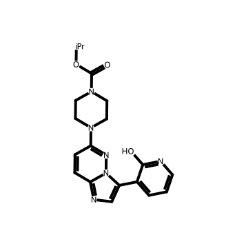 CC(C)OC(=O)N1CCN(c2ccc3ncc(-c4cccnc4O)n3n2)CC1